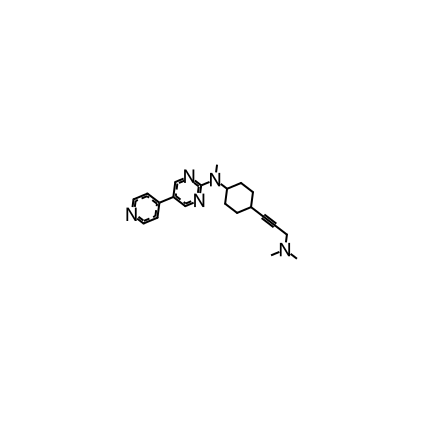 CN(C)CC#CC1CCC(N(C)c2ncc(-c3ccncc3)cn2)CC1